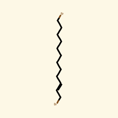 BrCC=CCCCCCCCCCBr